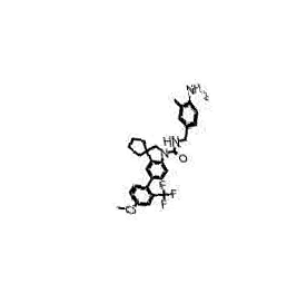 COc1ccc(-c2ccc3c(c2)C2(CCCC2)CN3C(=O)NCc2ccc(N)c(C)c2)c(C(F)(F)F)c1